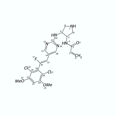 C=CC(=O)NC1CNCC1Nc1ncc(/C=C(\F)c2c(Cl)c(OC)cc(OC)c2Cl)cn1